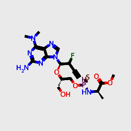 C#CC(F)[C@@H](O[C@@H](CO)CO[PH](=S)N[C@H](C)C(=O)OC)n1cnc2c(N(C)C)nc(N)nc21